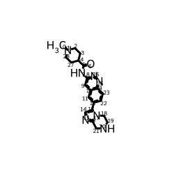 CN1CCC(C(=O)Nc2cc3cc(-c4cnc5n4CCNC5)ccc3nn2)CC1